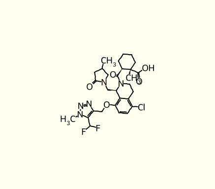 CC1CC(=O)N(C[C@@H]2c3c(OCc4nnn(C)c4C(F)F)ccc(Cl)c3CCN2C(=O)[C@H]2CCCC[C@]2(C)C(=O)O)C1